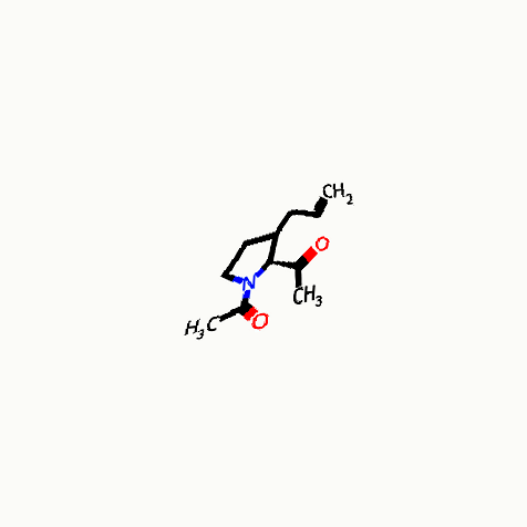 C=CCC1CCN(C(C)=O)[C@@H]1C(C)=O